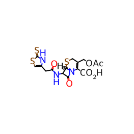 CC(=O)OCC1=C(C(=O)O)N2C(=O)C(NC(=O)Cc3csc(=S)[nH]3)[C@H]2SC1